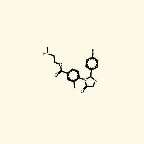 CNCCOC(=O)c1ccc(N2C(=O)CSC2c2ccc(F)cc2)c(C)c1